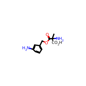 CC(N)(C(=O)O)C(=O)OCc1cccc(N)c1